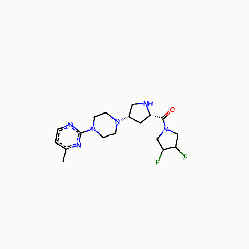 Cc1ccnc(N2CCN([C@@H]3CN[C@H](C(=O)N4CC(F)C(F)C4)C3)CC2)n1